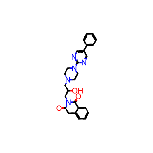 O=C1Cc2ccccc2C(=O)N1CC(O)CN1CCN(c2ncc(-c3ccccc3)cn2)CC1